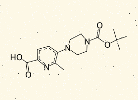 Cc1nc(C(=O)O)ccc1N1CCN(C(=O)OC(C)(C)C)CC1